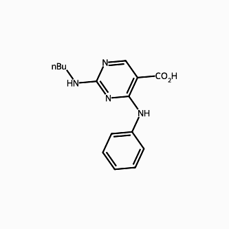 CCCCNc1ncc(C(=O)O)c(Nc2ccccc2)n1